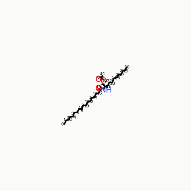 CCCCCCCCC=CCCCCCCCC(=O)NC(CCCCCCCCCC)COC(C)=O